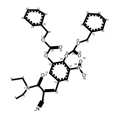 CCN(CC)C(=O)C(C#N)=Cc1cc(OC(=O)OCc2ccccc2)c(OC(=O)OCc2ccccc2)c([N+](=O)[O-])c1